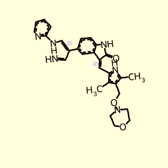 Cc1[nH]c(/C=C2\C(=O)Nc3ccc(/C(C=N)=C/Nc4ccccn4)cc32)c(C)c1CON1CCOCC1